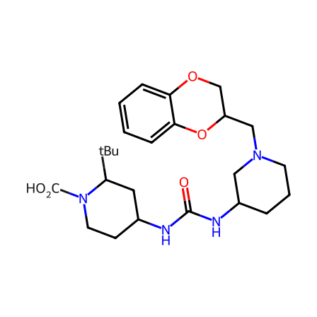 CC(C)(C)C1CC(NC(=O)NC2CCCN(CC3COc4ccccc4O3)C2)CCN1C(=O)O